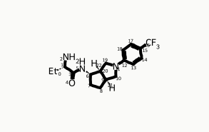 CC[C@H](N)C(=O)N[C@H]1CC[C@@H]2CN(c3ccc(C(F)(F)F)cc3)C[C@@H]21